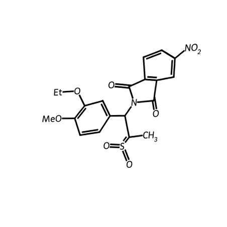 CCOc1cc(C(C(C)=S(=O)=O)N2C(=O)c3ccc([N+](=O)[O-])cc3C2=O)ccc1OC